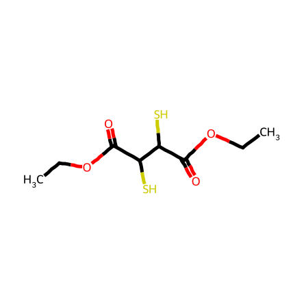 CCOC(=O)C(S)C(S)C(=O)OCC